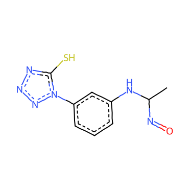 CC(N=O)Nc1cccc(-n2nnnc2S)c1